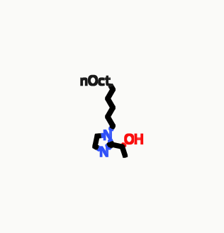 CCCCCCCCCCCCCN1CCN=C1C(C)O